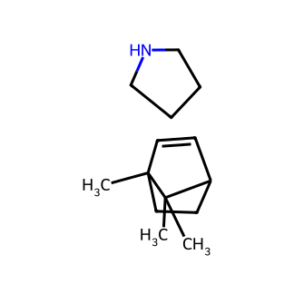 C1CCNC1.CC12C=CC(CC1)C2(C)C